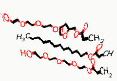 C=CC(=O)OCC1CCCO1.C=CC(=O)OCCCCCCCCCCCCC.C=CC(=O)OCCOCCOCCOCCO.OCCOCCOCCO